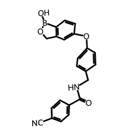 N#Cc1ccc(C(=O)NCc2ccc(Oc3ccc4c(c3)COB4O)cc2)cc1